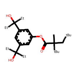 CCC(O)(CC)c1cc(OC(=O)C(C)(CC(C)(C)C)C(C)(C)C)cc(C(O)(CC)CC)c1